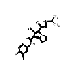 CC(NC(=O)C(=O)c1c(Cl)c(C(=O)Nc2ccc(F)c(F)c2)c2n1CCC2)C(F)(F)F